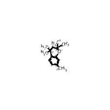 Cc1ccc2c(c1)OC(C)(C)CC2(C)C